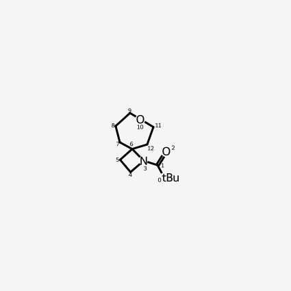 CC(C)(C)C(=O)N1CCC12CCCOCC2